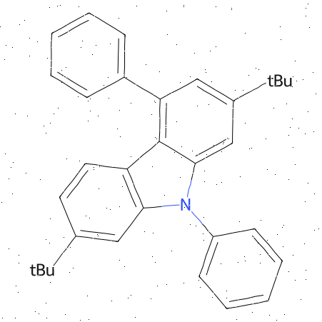 CC(C)(C)c1ccc2c3c(-c4ccccc4)cc(C(C)(C)C)cc3n(-c3ccccc3)c2c1